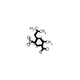 CC(C)=Cc1cc(C)c(C(=O)Cl)cc1[N+](=O)[O-]